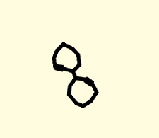 C1#CC(C2C#CCCCCCC2)CCCCCC1